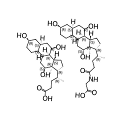 C[C@H](CCC(=O)NCC(=O)O)[C@H]1CC[C@H]2[C@@H]3[C@H](O)C[C@@H]4C[C@H](O)CC[C@]4(C)[C@H]3C[C@H](O)[C@]12C.C[C@H](CCC(=O)O)[C@H]1CC[C@H]2[C@@H]3[C@H](O)C[C@@H]4C[C@H](O)CC[C@]4(C)[C@H]3C[C@H](O)[C@]12C